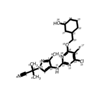 Cc1nn(C(C)(C)C#N)cc1Nc1nc(Cl)c(F)c(OCC2CCCC(O)C2)n1